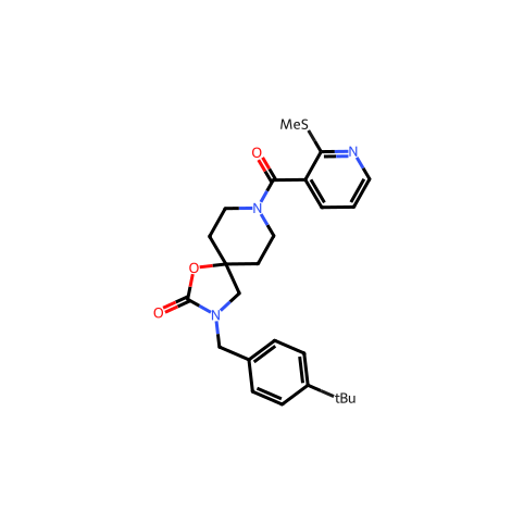 CSc1ncccc1C(=O)N1CCC2(CC1)CN(Cc1ccc(C(C)(C)C)cc1)C(=O)O2